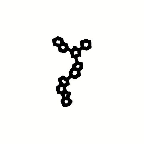 c1ccc(-c2nc(-c3ccc4ccccc4c3)nc(-c3ccc4ccc(-c5ccc6ccc7c8ccccc8oc7c6c5)cc4c3)n2)cc1